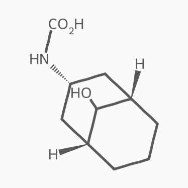 O=C(O)N[C@H]1C[C@H]2CCC[C@@H](C1)C2O